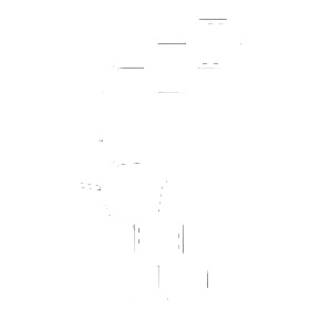 COc1cc2c(cc1OC)CC(=O)N(CCCN(C)C1CCc3ccccc3C1)CC2.Cl.Cl